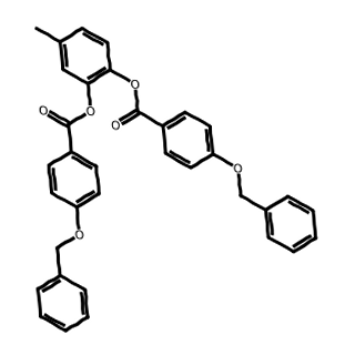 Cc1ccc(OC(=O)c2ccc(OCc3ccccc3)cc2)c(OC(=O)c2ccc(OCc3ccccc3)cc2)c1